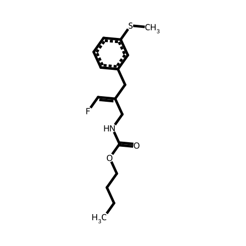 CCCCOC(=O)NCC(=CF)Cc1cccc(SC)c1